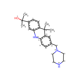 CC(C)(O)c1ccc2c(c1)Nc1ccc(CN3CCNCC3)cc1C2(C)C